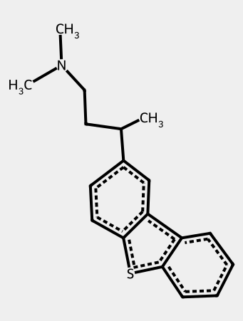 CC(CCN(C)C)c1ccc2sc3ccccc3c2c1